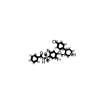 O=C(NS(=O)(=O)c1cc(F)c(OC[C@@H]2CNCCC2c2ccc(Cl)cc2)cc1F)c1ccccc1